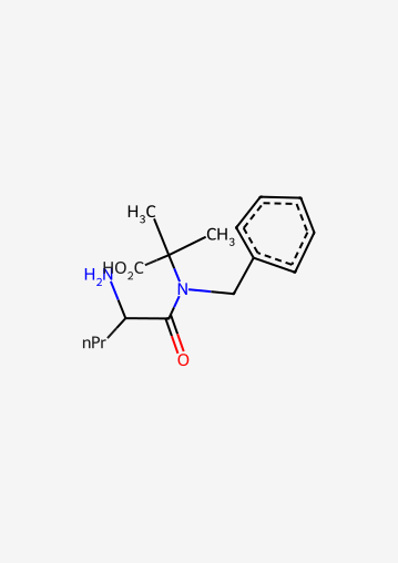 CCCC(N)C(=O)N(Cc1ccccc1)C(C)(C)C(=O)O